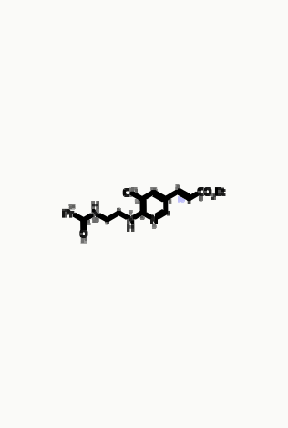 CCOC(=O)/C=C/c1cnc(NCCNC(=O)C(C)C)c(Cl)c1